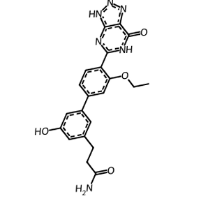 CCOc1cc(-c2cc(O)cc(CCC(N)=O)c2)ccc1-c1nc2[nH]nnc2c(=O)[nH]1